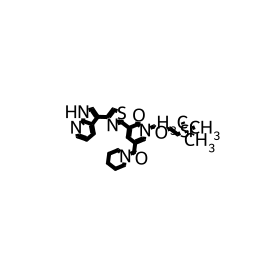 C[Si](C)(C)CCOCn1cc(C(=O)N2CCCCC2)cc(-c2nc(-c3c[nH]c4ncccc34)cs2)c1=O